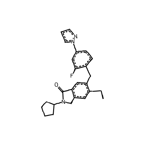 CCc1cc2c(cc1Cc1ccc(-n3cccn3)cc1F)C(=O)N(C1CCCC1)C2